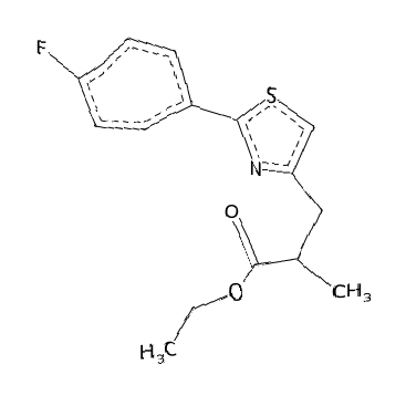 CCOC(=O)C(C)Cc1csc(-c2ccc(F)cc2)n1